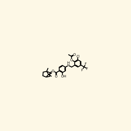 CC(=O)Oc1c(Cl)cc(C(F)(F)F)cc1CNc1ccc(C(=O)OC2CC3CCC2(C)C3(C)C)c(O)c1